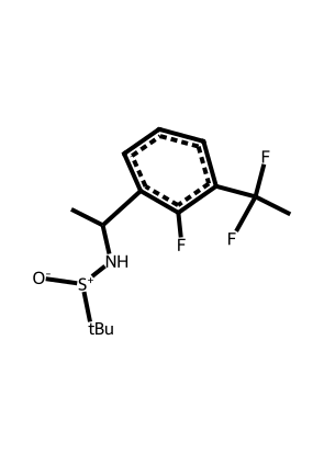 CC(N[S+]([O-])C(C)(C)C)c1cccc(C(C)(F)F)c1F